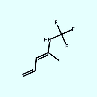 C=C/C=C(\C)NC(F)(F)F